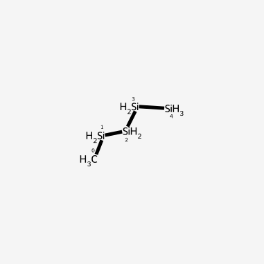 C[SiH2][SiH2][SiH2][SiH3]